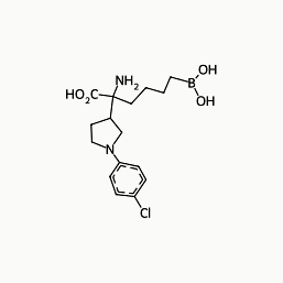 NC(CCCCB(O)O)(C(=O)O)C1CCN(c2ccc(Cl)cc2)C1